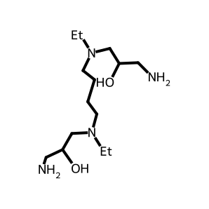 CCN(CCCCN(CC)CC(O)CN)CC(O)CN